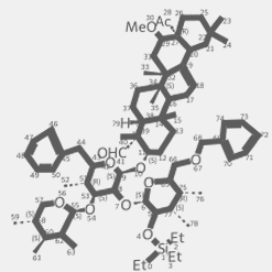 CC[Si](CC)(CC)OC1[C@H](OC2[C@H](O[C@H]3CCC4(C)C5CC=C6C7CC(C)(C)CC[C@]7(C(C)=O)C(OC)C[C@@]6(C)[C@@]5(C)CC[C@H]4[C@@]3(C)C=O)OC(Cc3ccccc3)[C@@H](C)[C@@H]2O[C@@H]2OC[C@@H](C)[C@H](C)C2C)OC(COCc2ccccc2)[C@H](C)[C@@H]1C